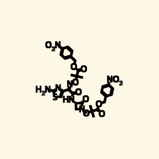 CC(C)(O/N=C(\C(=O)N[C@H]1CN(OC(C)(C)C(=O)OCc2ccc([N+](=O)[O-])cc2)C1=O)c1csc(N)n1)C(=O)OCc1ccc([N+](=O)[O-])cc1